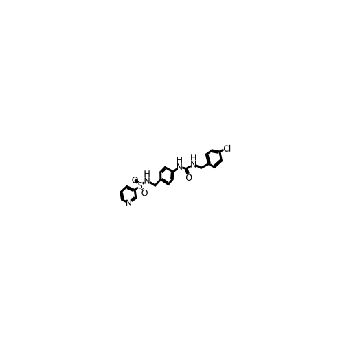 O=C(NCc1ccc(Cl)cc1)Nc1ccc(CNS(=O)(=O)c2cccnc2)cc1